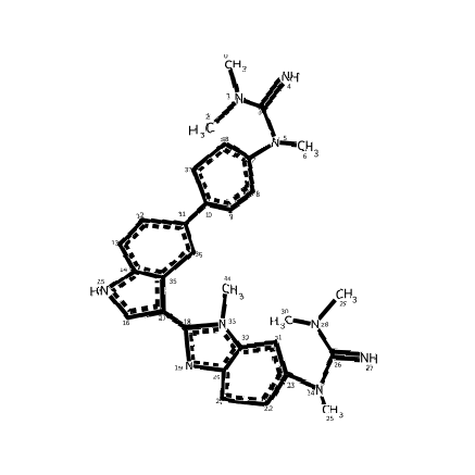 CN(C)C(=N)N(C)c1ccc(-c2ccc3[nH]cc(-c4nc5ccc(N(C)C(=N)N(C)C)cc5n4C)c3c2)cc1